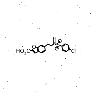 O=C(O)c1cc2ccc(CCNS(=O)(=O)c3ccc(Cl)cc3)cc2o1